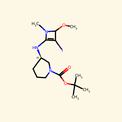 COC1C(I)=C(N[C@@H]2CCCN(C(=O)OC(C)(C)C)C2)N1C